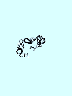 Cc1ccc2sc(Oc3ccc(OCCNCC4CCCN4S(C)(=O)=O)cc3)nc2c1